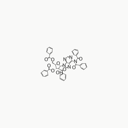 O=C(OC[C@H]1O[C@@H](n2cnc3c(N(C(=O)c4ccccc4)C(=O)c4ccccc4)ncnc32)[C@@](O)(C(=O)c2ccccc2)[C@@H]1OC(=O)c1ccccc1)c1ccccc1